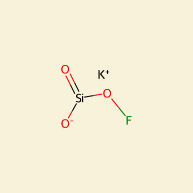 O=[Si]([O-])OF.[K+]